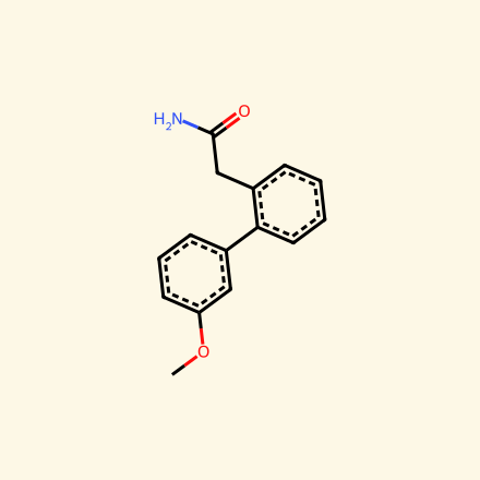 COc1cccc(-c2ccccc2CC(N)=O)c1